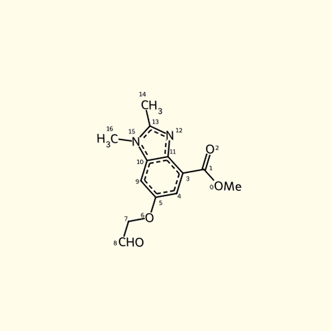 COC(=O)c1cc(OCC=O)cc2c1nc(C)n2C